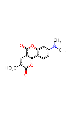 CN(C)c1ccc2c(c1)oc(=O)c1cc(C(=O)O)c(=O)oc12